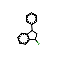 ClC1CC(c2ccccc2)c2ccccc21